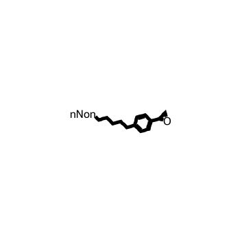 CCCCCCCCCCCCCCc1ccc(C2CO2)cc1